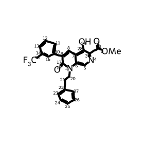 COC(=O)c1ncc2c(cc(-c3cccc(C(F)(F)F)c3)c(=O)n2CCc2ccccc2)c1O